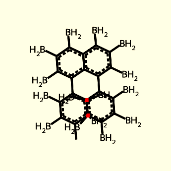 Bc1c(B)c(B)c(-c2c(B)c(B)c(B)c3c(B)c(B)c(B)c(-c4c(B)c(B)c(C)c(B)c4B)c23)c(B)c1B